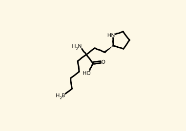 BCCCCC(N)(CC[C@@H]1CCCN1)C(=O)O